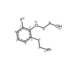 CC(C)CCc1cccc(F)c1OCCO